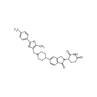 Cc1oc(-c2ccc(C(F)(F)F)cc2)nc1CN1CCC(c2ccc3c(c2)CN(C2CCC(=O)NC2=O)C3=O)CC1